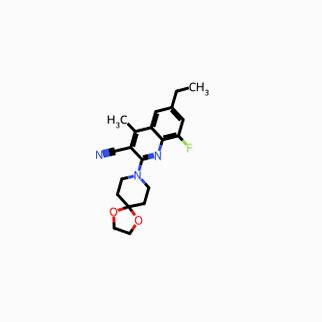 CCc1cc(F)c2nc(N3CCC4(CC3)OCCO4)c(C#N)c(C)c2c1